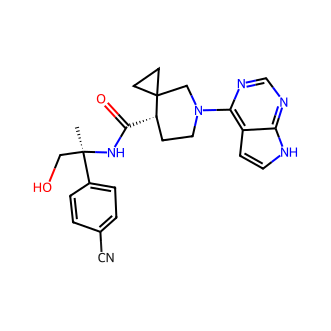 C[C@](CO)(NC(=O)[C@H]1CCN(c2ncnc3[nH]ccc23)CC12CC2)c1ccc(C#N)cc1